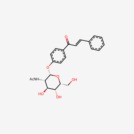 CC(=O)N[C@@H]1[C@H](Oc2ccc(C(=O)/C=C/c3ccccc3)cc2)O[C@H](CO)[C@H](O)[C@H]1O